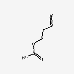 C=CCCOS(=O)O